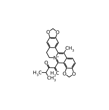 C=C(C(=O)C(C)C)c1c2c3c(ccc2c(C)c2[n+]1CCc1cc4c(cc1-2)OCO4)OCO3